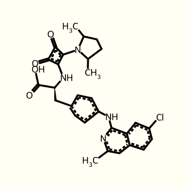 Cc1cc2ccc(Cl)cc2c(Nc2ccc(C[C@H](Nc3c(N4C(C)CCC4C)c(=O)c3=O)C(=O)O)cc2)n1